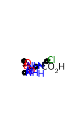 CC(OC(=O)NC1=C(c2ccc(CNC(Cc3ccc(Cl)cc3)C(=O)O)cc2)ON(Nc2ccccc2)C1C)c1ccccc1